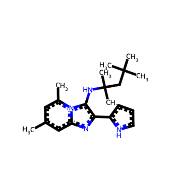 Cc1cc(C)n2c(NC(C)(C)CC(C)(C)C)c(-c3ccc[nH]3)nc2c1